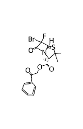 CC1(C)S[C@H]2N(C(=O)C2(F)Br)[C@H]1C(=O)OCC(=O)c1ccccc1